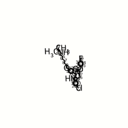 CC(C)NCCCCCCOc1ccc(C2c3[nH]c4ccc(Cl)cc4c3CCN2C(=O)Oc2ccc(F)cc2)cc1